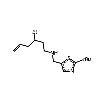 C=CCC(CC)CCNCc1cnc(C(C)(C)C)s1